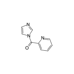 O=C(c1ccccn1)n1ccnc1